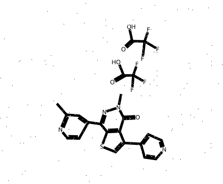 Cc1cc(-c2nn(C)c(=O)c3c(-c4ccncc4)csc23)ccn1.O=C(O)C(F)(F)F.O=C(O)C(F)(F)F